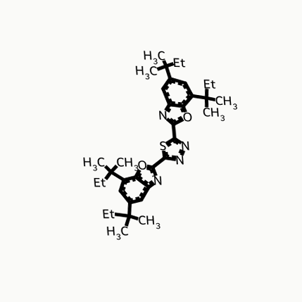 CCC(C)(C)c1cc(C(C)(C)CC)c2oc(-c3nnc(-c4nc5cc(C(C)(C)CC)cc(C(C)(C)CC)c5o4)s3)nc2c1